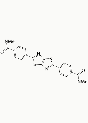 CNC(=O)c1ccc(-c2nc3sc(-c4ccc(C(=O)NC)cc4)nc3s2)cc1